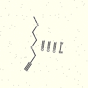 C#CCSCCSC.[Br][Re].[C]=O.[C]=O.[C]=O